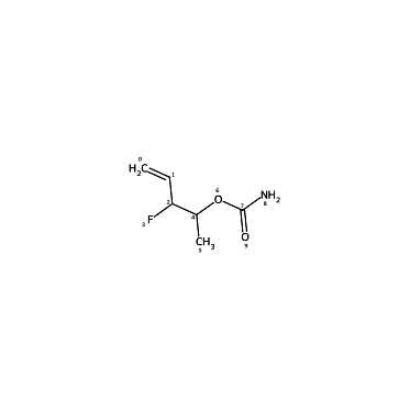 C=CC(F)C(C)OC(N)=O